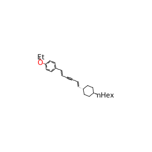 CCCCCC[C@H]1CC[C@H](C=CC#CC=Cc2ccc(OCC)cc2)CC1